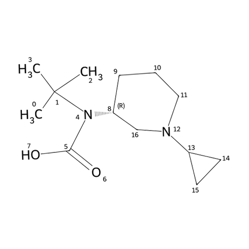 CC(C)(C)N(C(=O)O)[C@@H]1CCCN(C2CC2)C1